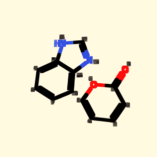 O=c1cccco1.c1ccc2[nH]cnc2c1